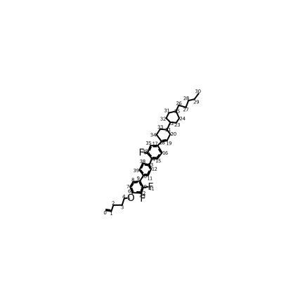 C=CCCCOc1ccc(-c2ccc(-c3ccc(C4=CCC(C5CCC(CCCCC)CC5)CC4)cc3F)cc2)c(F)c1F